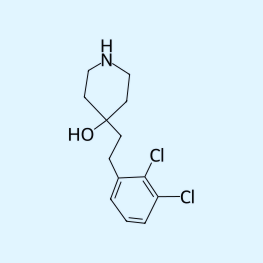 OC1(CCc2cccc(Cl)c2Cl)CCNCC1